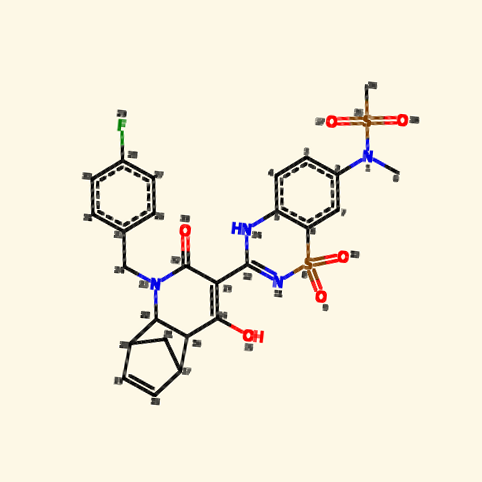 CN(c1ccc2c(c1)S(=O)(=O)N=C(C1=C(O)C3C4C=CC(C4)C3N(Cc3ccc(F)cc3)C1=O)N2)S(C)(=O)=O